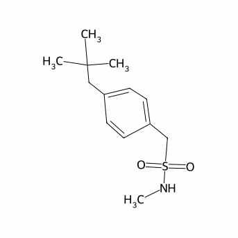 CNS(=O)(=O)Cc1ccc(CC(C)(C)C)cc1